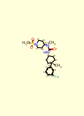 CN(C(=O)N[C@H]1CC[C@@](C)(c2cccc(F)c2)CC1)C1CCN(S(C)(=O)=O)CC1